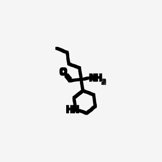 CCCCC(N)(C=O)C1CCCNC1